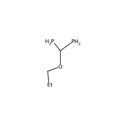 CCCO[C](P)P